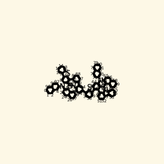 c1ccc2cc(N3c4cc5c(sc6ccccc65)c5c4B(c4c3ccc3ccccc43)n3c4ccc(-c6cccc7c6sc6cc8c9c(c67)-c6cccc7c%10ccccc%10n(c67)B9c6c(ccc7ccccc67)N8c6ccc7ccccc7c6)cc4c4cccc-5c43)ccc2c1